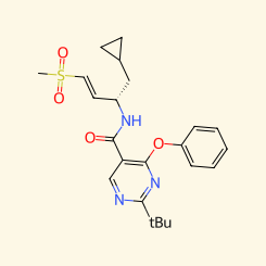 CC(C)(C)c1ncc(C(=O)N[C@H](/C=C/S(C)(=O)=O)CC2CC2)c(Oc2ccccc2)n1